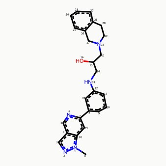 Cn1ncc2cnc(-c3cccc(NCC(O)CN4CCc5ccccc5C4)c3)cc21